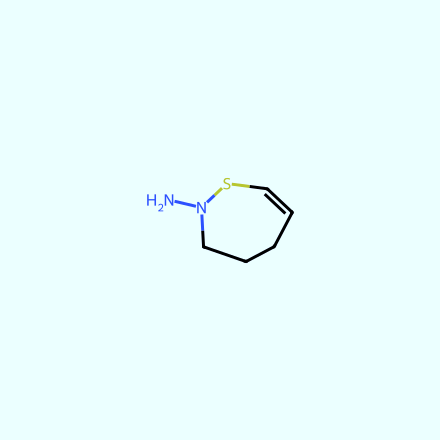 NN1CCCC=CS1